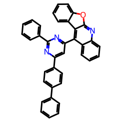 c1ccc(-c2ccc(-c3cc(-c4c5ccccc5nc5oc6ccccc6c45)nc(-c4ccccc4)n3)cc2)cc1